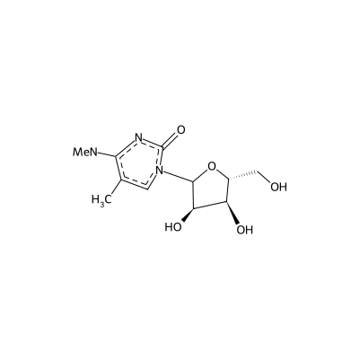 CNc1nc(=O)n(C2O[C@H](CO)[C@@H](O)[C@H]2O)cc1C